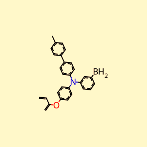 Bc1cccc(N(c2ccc(OC(=C)C=C)cc2)c2ccc(-c3ccc(C)cc3)cc2)c1